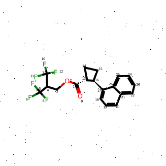 O=C(OCC(C(F)(F)F)C(F)(F)F)[C@@H]1CC[C@H]1c1cccc2ccccc12